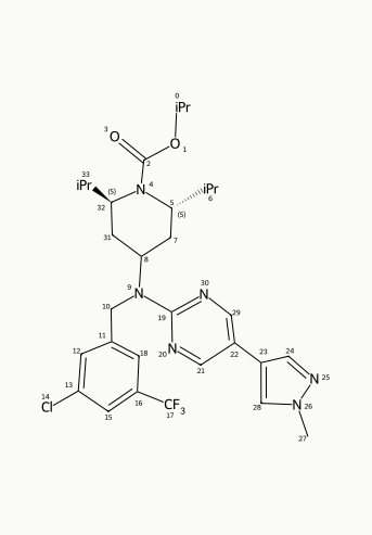 CC(C)OC(=O)N1[C@H](C(C)C)CC(N(Cc2cc(Cl)cc(C(F)(F)F)c2)c2ncc(-c3cnn(C)c3)cn2)C[C@H]1C(C)C